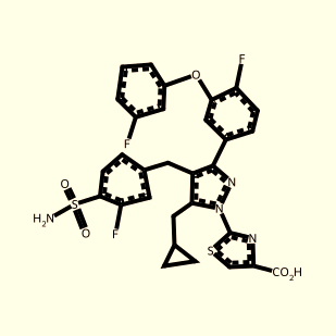 NS(=O)(=O)c1ccc(Cc2c(-c3ccc(F)c(Oc4cccc(F)c4)c3)nn(-c3nc(C(=O)O)cs3)c2CC2CC2)cc1F